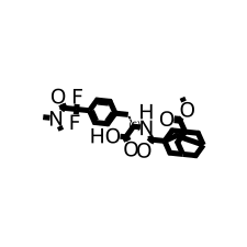 COC(=O)C12CC3CC(CC(C(=O)N[C@@H](Cc4ccc(C(F)(F)C(=O)N(C)C)cc4)C(=O)O)(C3)C1)C2